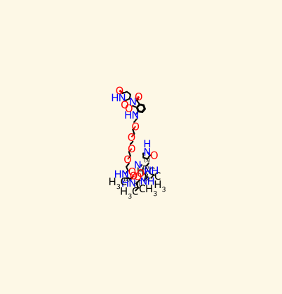 CC(C)C[C@H](NC(=O)[C@@H](NC(=O)[C@H](C)NC(=O)CCOCCOCCOCCOCCNc1cccc2c1C(=O)N(C1CCC(=O)NC1=O)C2=O)C(C)C)C(=O)N[C@H](C#N)C[C@@H]1CCNC1=O